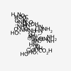 C[C@H](NC(=O)[C@@H](N)[C@@H](C)O)C(=O)N[C@@H](CC(N)=O)C(=O)N[C@@H](CC(=O)O)C(=O)N[C@@H](CO)C(=O)NCC(=O)N1CCC[C@H]1C(=O)N[C@@H](CCCNC(=N)N)C(=O)N[C@@H](CCCNC(=N)N)C(=O)N[C@@H](Cc1ccc(O)cc1)C(=O)N[C@H](C(=O)O)[C@@H](C)O